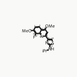 COc1ccc2c(OC)cc(-c3csc(NC(C)C)n3)nc2c1F